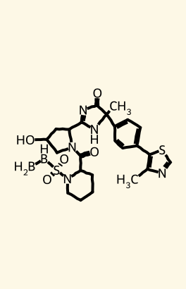 BBS(=O)(=O)N1CCCCC1C(=O)N1CC(O)CC1C1=NC(=O)C(C)(c2ccc(-c3scnc3C)cc2)N1